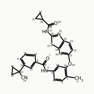 Cc1ccc(NC(=O)c2cccc(C3(C#N)CC3)c2)cc1Oc1ccc2nc(NC(=O)C3CC3)sc2n1